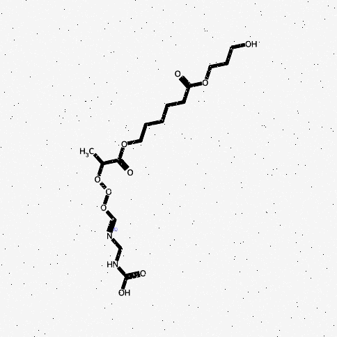 CC(OOO/C=N/CNC(=O)O)C(=O)OCCCCCC(=O)OCCCO